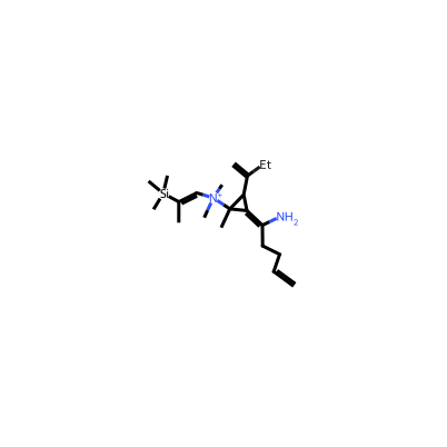 C=CCC/C(N)=C1/C(C(=C)CC)C1(C)[N+](C)(C)/C=C(\C)[Si](C)(C)C